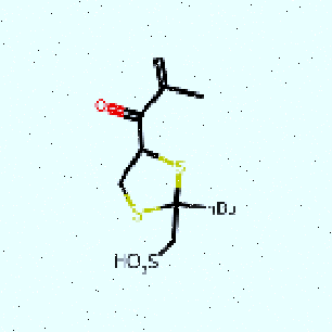 C=C(C)C(=O)C1CSC(CCCC)(CS(=O)(=O)O)S1